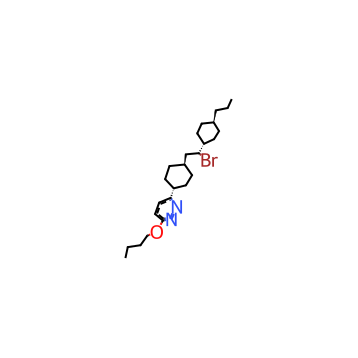 CCCCOc1ccc([C@H]2CC[C@H](CC(Br)[C@H]3CC[C@H](CCC)CC3)CC2)nn1